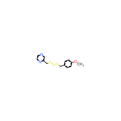 COc1ccc(CSSSCc2cnccn2)cc1